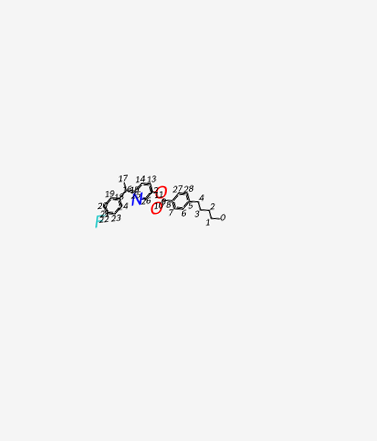 CCCCCc1ccc(C(=O)Oc2ccc(C(C)c3ccc(F)cc3)nc2)cc1